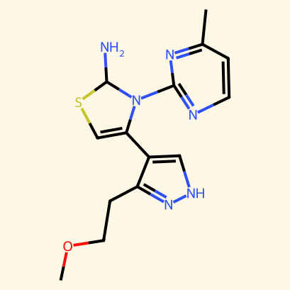 COCCc1n[nH]cc1C1=CSC(N)N1c1nccc(C)n1